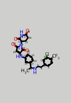 CC(NCCc1ccc(C(F)(F)F)c(Cl)c1)c1cccc(NC2=CC(=O)N(C3CCC(=O)NC3=O)C2=O)c1